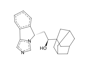 O[C@@H](C[C@H]1c2ccccc2-c2cncn21)C12CC3CC(CC(C3)C1)C2